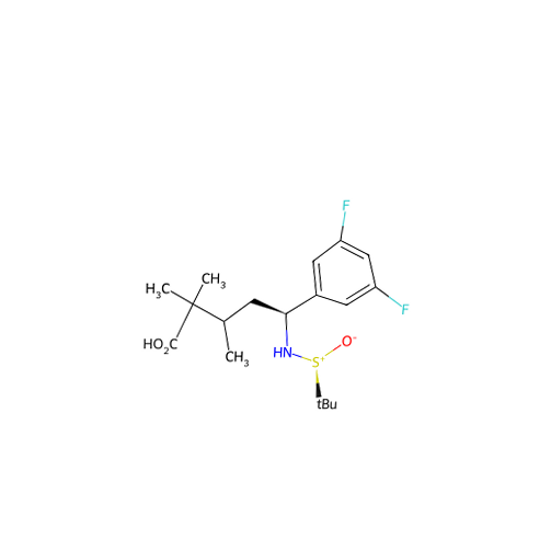 CC(C[C@H](N[S@@+]([O-])C(C)(C)C)c1cc(F)cc(F)c1)C(C)(C)C(=O)O